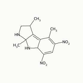 CC1=C([N+](=O)[O-])C=C([N+](=O)[O-])C2NC3(C)NCC(C)C3=C12